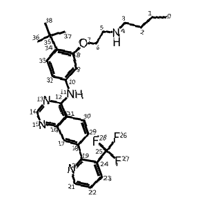 CCCCNCCOc1cc(Nc2ncnc3cc(-c4ncccc4C(F)(F)F)ccc23)ccc1C(C)(C)C